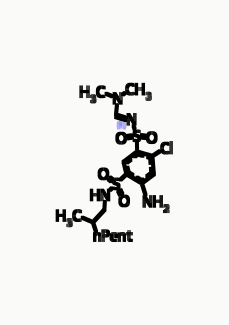 CCCCCC(C)CNS(=O)(=O)c1cc(S(=O)(=O)/N=C/N(C)C)c(Cl)cc1N